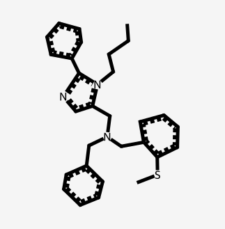 CCCCn1c(CN(Cc2ccccc2)Cc2ccccc2SC)cnc1-c1ccccc1